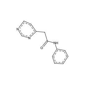 O=C(Cc1ccncn1)Nc1ccccc1